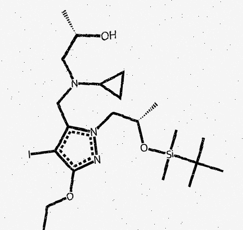 CCOc1nn(C[C@H](C)O[Si](C)(C)C(C)(C)C)c(CN(C[C@H](C)O)C2CC2)c1I